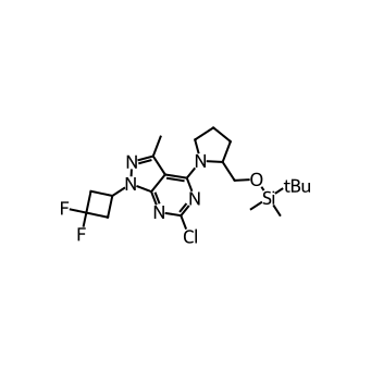 Cc1nn(C2CC(F)(F)C2)c2nc(Cl)nc(N3CCCC3CO[Si](C)(C)C(C)(C)C)c12